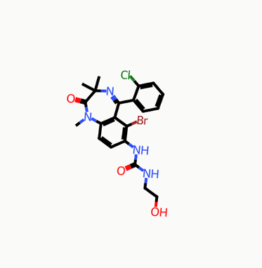 CN1C(=O)C(C)(C)N=C(c2ccccc2Cl)c2c1ccc(NC(=O)NCCO)c2Br